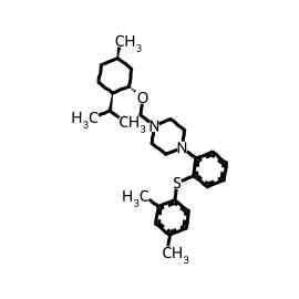 Cc1ccc(Sc2ccccc2N2CCN(CO[C@H]3C[C@H](C)CC[C@@H]3C(C)C)CC2)c(C)c1